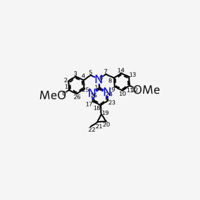 COc1ccc(CN(Cc2ccc(OC)cc2)c2ncc(C3CC3C)cn2)cc1